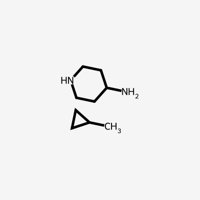 CC1CC1.NC1CCNCC1